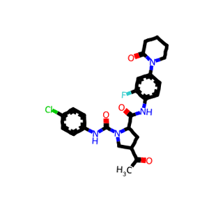 CC(=O)C1CC(C(=O)Nc2ccc(N3CCCCC3=O)cc2F)N(C(=O)Nc2ccc(Cl)cc2)C1